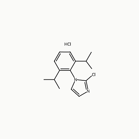 CC(C)c1cccc(C(C)C)c1-n1ccnc1Cl.Cl